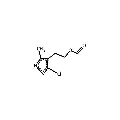 Cc1nsc(Cl)c1CCOC=O